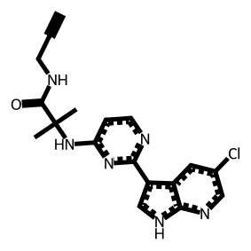 C#CCNC(=O)C(C)(C)Nc1ccnc(-c2c[nH]c3ncc(Cl)cc23)n1